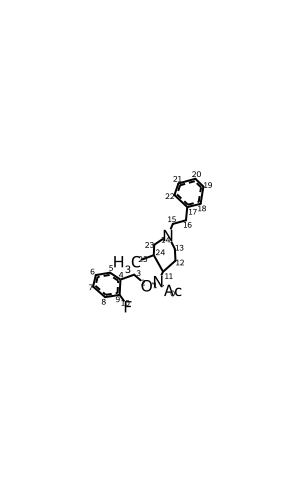 CC(=O)N(OCc1ccccc1F)C1CCN(CCc2ccccc2)CC1C